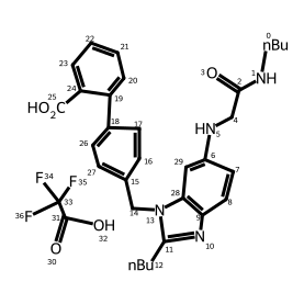 CCCCNC(=O)CNc1ccc2nc(CCCC)n(Cc3ccc(-c4ccccc4C(=O)O)cc3)c2c1.O=C(O)C(F)(F)F